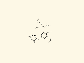 CC(Oc1cc(Oc2ccc(C(F)(F)F)cc2Cl)ccc1C#N)C(=O)O.OCCN(CCO)CCO